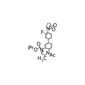 CC(=O)N1c2ccc(-c3ccc(N4CCCS4(=O)=O)c(F)c3)cc2N(C(=O)OC(C)C)C[C@@H]1C